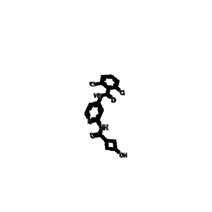 O=C(Nc1ccnc(NC(=O)C2CC(O)C2)c1)c1c(Cl)cccc1Cl